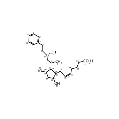 CC(C[C@@H](O)CCc1ccccc1)[C@@H]1[C@@H](C/C=C\CCCC(=O)O)[C@@H](O)C[C@H]1O